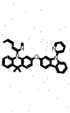 C=N/C(=C\C=C/C)N1c2ccccc2C(C)(C)c2ccc(Oc3ccc4c5ccccc5n(-c5ccccn5)c4c3)cc21